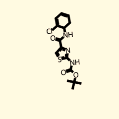 CC(C)(C)OC(=O)Nc1nc(C(=O)NC2CC=CC=C2Cl)cs1